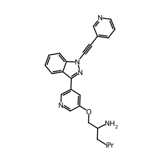 CC(C)CC(N)COc1cncc(-c2nn(C#Cc3cccnc3)c3ccccc23)c1